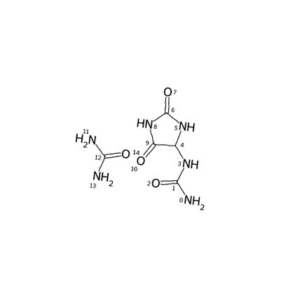 NC(=O)NC1NC(=O)NC1=O.NC(N)=O